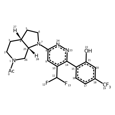 CC(=O)N1CC[C@@H]2CCN(c3cc(C(F)F)c(-c4ccc(C(F)(F)F)cc4O)nn3)[C@@H]2C1